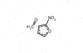 C=O.O=[N+]([O-])c1ccco1